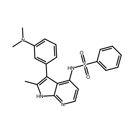 Cc1[nH]c2nccc(NS(=O)(=O)c3ccccc3)c2c1-c1cccc(N(C)C)c1